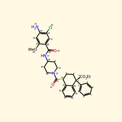 CCOC(=O)[C@]1(c2ccccc2)CC[C@@H](C(=O)N2CCC(NC(=O)c3cc(Cl)c(N)cc3OC)CC2)c2ccccc21